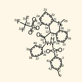 Cc1ccc(S(=O)(=O)NN(C(=O)C2c3ccccc3N(C)c3cccc(OS(=O)(=O)C(F)(F)F)c32)c2ccccc2)cc1